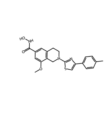 COc1cc(C(=O)NO)cc2c1CN(c1nc(-c3ccc(C)cc3)cs1)CC2